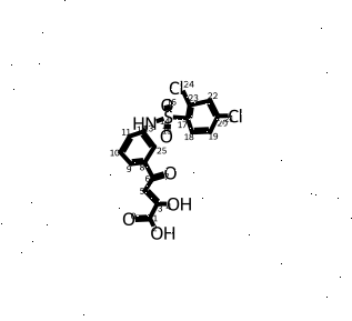 O=C(O)/C(O)=C/C(=O)c1cccc(NS(=O)(=O)c2ccc(Cl)cc2Cl)c1